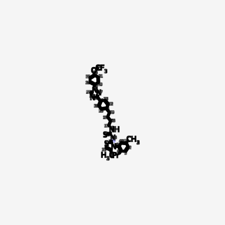 Cc1ccc(C(C)C)c(-n2c(C)cs/c2=N\C(=S)NCCCCc2ccc(-c3ncn(-c4ccc(OC(F)(F)F)cc4)n3)cc2)c1